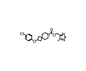 Cn1ncnc1COC(=O)N1CCC2(CC1)CC(Oc1ccc(Cl)cc1)C2